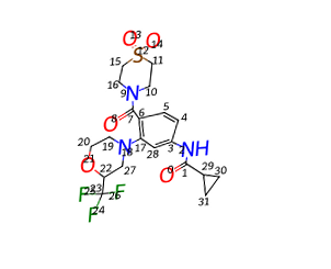 O=C(Nc1ccc(C(=O)N2CCS(=O)(=O)CC2)c(N2CCOC(C(F)(F)F)C2)c1)C1CC1